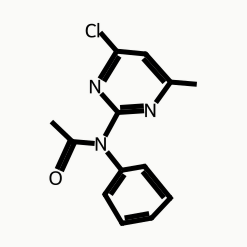 CC(=O)N(c1ccccc1)c1nc(C)cc(Cl)n1